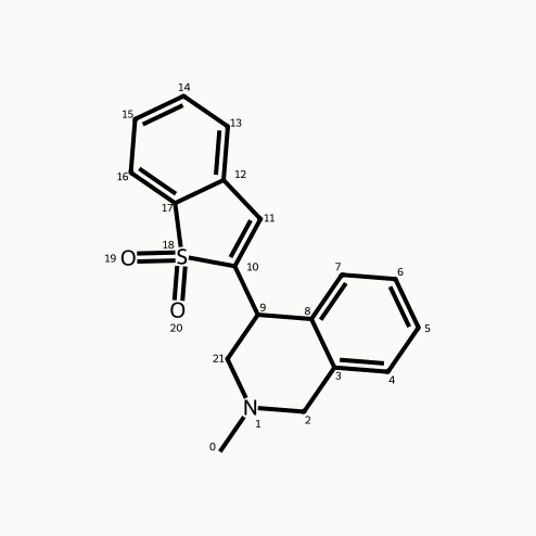 CN1Cc2ccccc2C(C2=Cc3ccccc3S2(=O)=O)C1